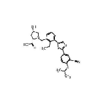 CCc1c(CN2C[C@H](O)C[C@H]2C(=O)O)cccc1-c1cnc(-c2ccc(OC(C)C)c(C#N)c2)s1